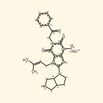 CC(C)=CCn1c(N2CCC3CNCC32)nc2c1c(=O)n(CC(=O)c1ccccc1)c(=O)n2C.Cl